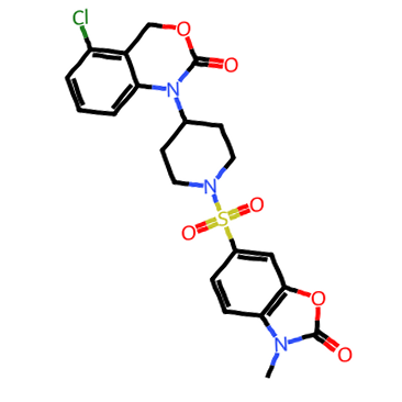 Cn1c(=O)oc2cc(S(=O)(=O)N3CCC(N4C(=O)OCc5c(Cl)cccc54)CC3)ccc21